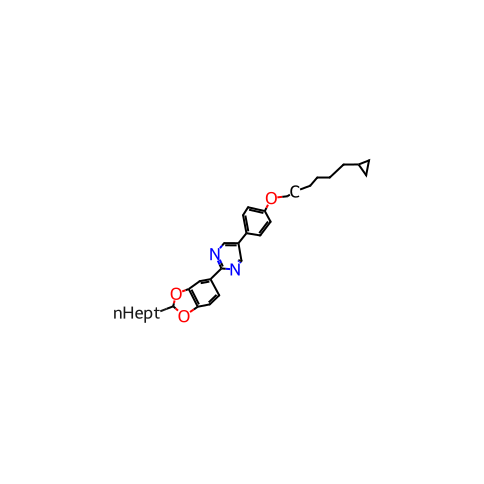 CCCCCCCC1Oc2ccc(-c3ncc(-c4ccc(OCCCCCCC5CC5)cc4)cn3)cc2O1